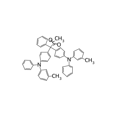 Cc1cccc(N(c2ccccc2)c2ccc(C(c3ccccc3)(c3ccc(N(c4ccccc4)c4cccc(C)c4)cc3)S(C)(=O)=O)cc2)c1